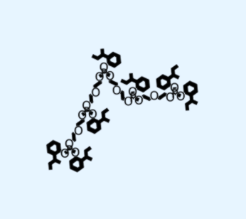 CCC(C)c1ccccc1OP(OCCOCCOP(OCCOCCOP(Oc1ccccc1C(C)CC)Oc1ccccc1C(C)CC)Oc1ccccc1C(C)CC)OCCOCCOP(OCCOCCOP(Oc1ccccc1C(C)CC)Oc1ccccc1C(C)CC)Oc1ccccc1C(C)CC